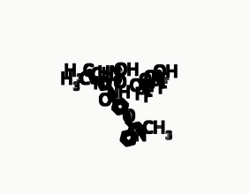 Cc1cc(COc2ccc(C(=O)N[C@@H]3CN(CC(C)(C)C)C[C@@H]3C(=O)NO)cc2)c2ccccc2n1.O=C(O)C(F)(F)F.O=C(O)C(F)(F)F